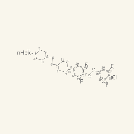 CCCCCCC1CCC(CCC2CCC(c3cc(F)c(CCc4cc(F)c(Cl)c(F)c4)c(F)c3)CC2)CC1